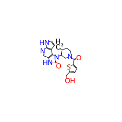 C[C@H]1CCN(C(=O)c2ccc(CO)s2)C[C@H]1n1c(=O)[nH]c2cnc3[nH]ccc3c21